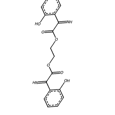 N=C(C(=O)OCCOC(=O)C(=N)c1ccccc1O)c1ccccc1O